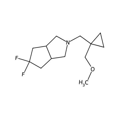 COCC1(CN2CC3CC(F)(F)CC3C2)CC1